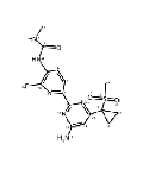 CNC(=O)Nc1ccc(-c2nc(N)cc(C3(S(C)(=O)=O)CC3)n2)cc1F